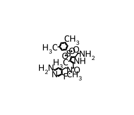 Cc1cc(C)cc(S(=O)(=O)c2c(C(N)=O)[nH]c(C(=O)N(C)Cc3cc(N)ncc3F)c2C)c1